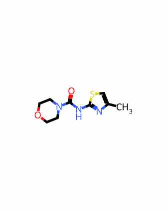 Cc1csc(NC(=O)N2CCOCC2)n1